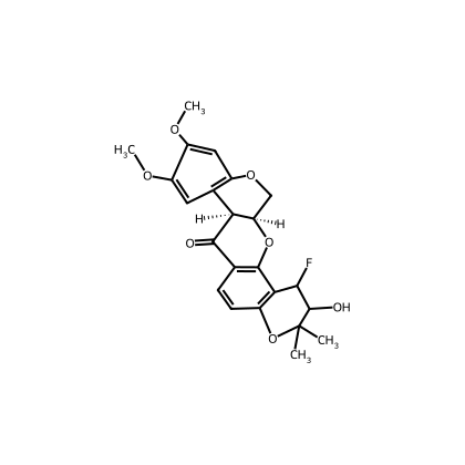 COc1cc2c(cc1OC)[C@@H]1C(=O)c3ccc4c(c3O[C@@H]1CO2)C(F)C(O)C(C)(C)O4